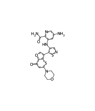 NC(=O)c1ncc(N)cc1Nc1cnsc1-c1coc2c(=O)cc(N3CCOCC3)sc12